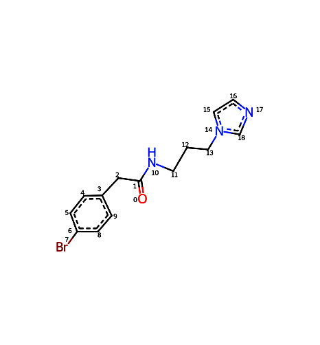 O=C(Cc1ccc(Br)cc1)NCCCn1ccnc1